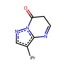 CC(C)c1cnn2c1N=CCC2=O